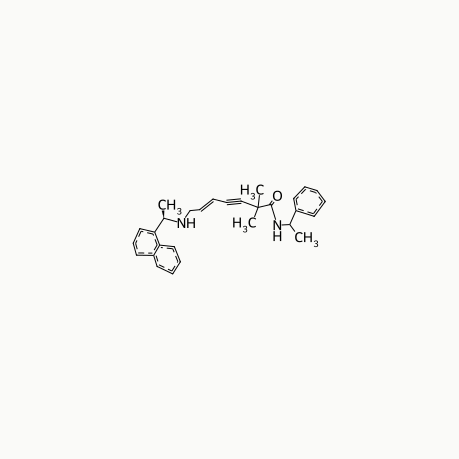 CC(NC(=O)C(C)(C)C#C/C=C/CN[C@H](C)c1cccc2ccccc12)c1ccccc1